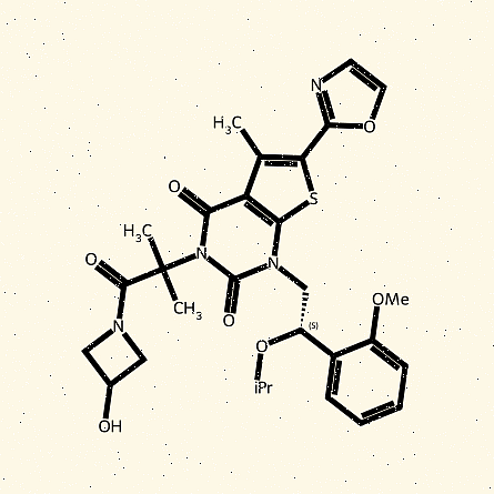 COc1ccccc1[C@@H](Cn1c(=O)n(C(C)(C)C(=O)N2CC(O)C2)c(=O)c2c(C)c(-c3ncco3)sc21)OC(C)C